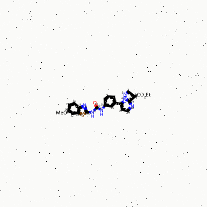 CCOC(=O)c1cnn2c(-c3cccc(NC(=O)Nc4nc5ccc(OC)cc5s4)c3)ccnc12